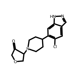 O=C1COCC1N1CCC(c2cc3[nH]ncc3cc2Cl)CC1